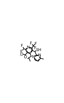 COC(=O)c1c(C(F)F)nc(C(F)(F)F)c(C(S)c2nccc(C)n2)c1CC(C)C